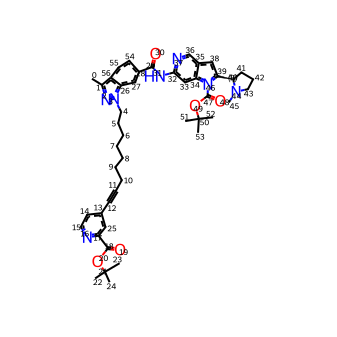 Cc1nn(CCCCCCCC#Cc2ccnc(C(=O)OC(C)(C)C)c2)c2cc(C(=O)Nc3cc4c(cn3)cc([C@H]3CCCN3C)n4C(=O)OC(C)(C)C)ccc12